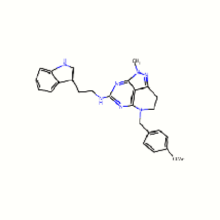 COc1ccc(CN2CCc3nn(C)c4nc(NCCC5CNc6ccccc65)nc2c34)cc1